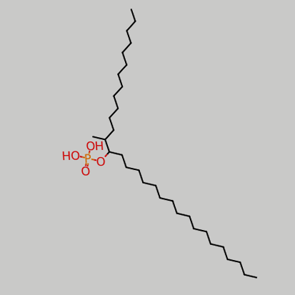 CCCCCCCCCCCCCCCCCC(OP(=O)(O)O)C(C)CCCCCCCCCCCC